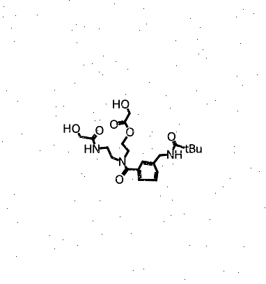 CC(C)(C)C(=O)NCc1cccc(C(=O)N(CCNC(=O)CO)CCOC(=O)CO)c1